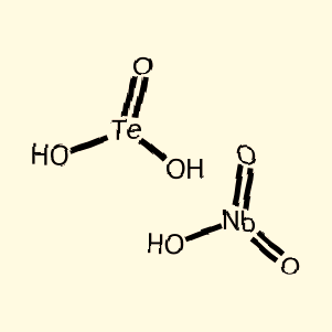 O=[Te](O)O.[O]=[Nb](=[O])[OH]